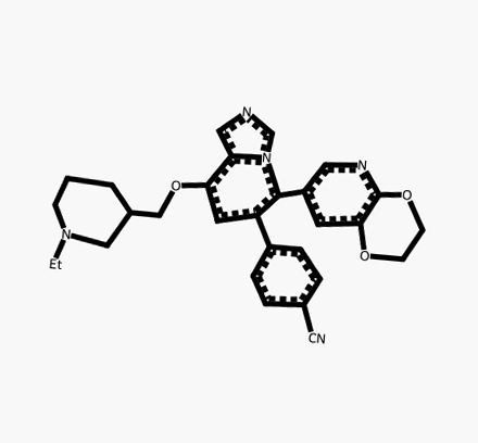 CCN1CCCC(COc2cc(-c3ccc(C#N)cc3)c(-c3cnc4c(c3)OCCO4)n3cncc23)C1